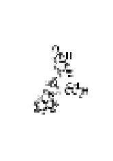 CC(=O)O.O=C1Cc2cc(CCN3CCN(c4nsc5ccccc45)CC3)c(Cl)cc2N1